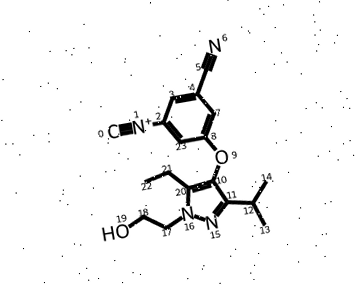 [C-]#[N+]c1cc(C#N)cc(Oc2c(C(C)C)nn(CCO)c2CC)c1